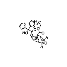 CCOC(=O)C[N+]1(C)C2CC(OC(=O)C(O)(c3cccs3)c3cccs3)CC1[C@@H]1O[C@H]21